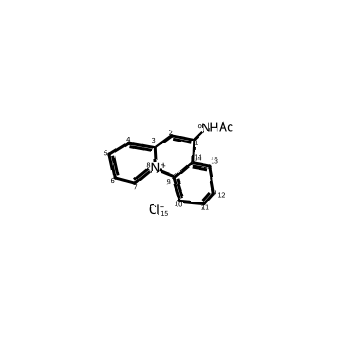 CC(=O)Nc1cc2cccc[n+]2c2ccccc12.[Cl-]